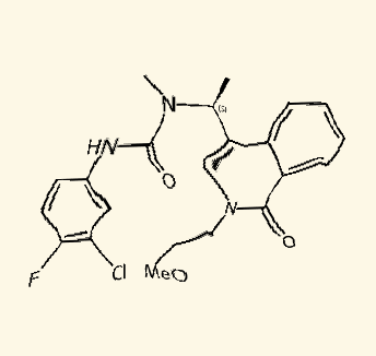 COCCn1cc([C@H](C)N(C)C(=O)Nc2ccc(F)c(Cl)c2)c2ccccc2c1=O